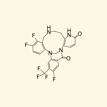 O=C1c2cc(F)c(C(F)(F)F)cc2N2CN1c1ccc(=O)[nH]c1CCNCc1c2ccc(F)c1F